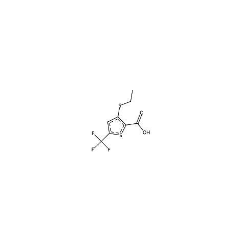 CCSc1cc(C(F)(F)F)sc1C(=O)O